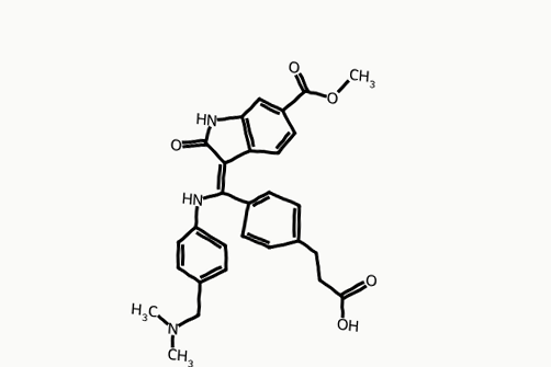 COC(=O)c1ccc2c(c1)NC(=O)/C2=C(\Nc1ccc(CN(C)C)cc1)c1ccc(CCC(=O)O)cc1